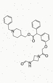 O=CNC1CN(C(=O)COc2cccc(C(C(=O)OCC3CCN(Cc4ccccc4)CC3)c3ccccc3)c2)C1